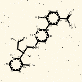 C[C@H](F)C[C@@](C)(CNc1ccc(-c2cc(C(N)=O)ccc2F)nn1)c1ncccc1F